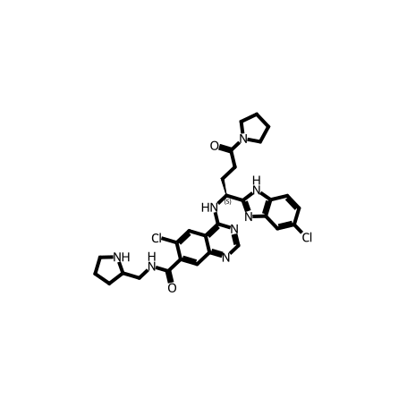 O=C(NCC1CCCN1)c1cc2ncnc(N[C@@H](CCC(=O)N3CCCC3)c3nc4cc(Cl)ccc4[nH]3)c2cc1Cl